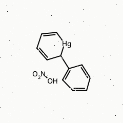 C1=[CH][Hg][CH](c2ccccc2)C=C1.O=[N+]([O-])O